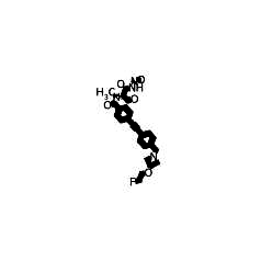 CN(C(=O)c1ccc(C#Cc2ccc(CN3CC(OCCF)C3)cc2)cc1)[C@@H](C=O)C(=O)NN=O